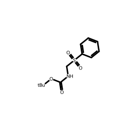 CC(C)(C)OC(=O)NCS(=O)(=O)c1ccccc1